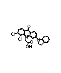 O=C(O)Cn1c2cc(N3CCc4ccccc43)ccc2c(=O)c2ccc(Cl)c(Cl)c21